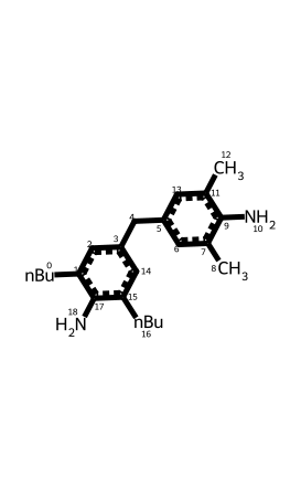 CCCCc1cc(Cc2cc(C)c(N)c(C)c2)cc(CCCC)c1N